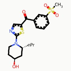 CCC[C@@H]1C[C@@H](O)CCN1c1ncc(C(=O)c2cccc(S(C)(=O)=O)c2)s1